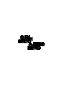 COC(c1[nH]c2ccccc2c1C=O)c1c[nH]c2ccc(-c3ccc4[nH]c(C(C)c5coc6ccccc56)c(C=O)c4c3)cc12